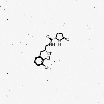 O=C1CC[C@@H](C(=O)NC[C@H](Cl)Cc2cccc(C(F)(F)F)c2Cl)N1